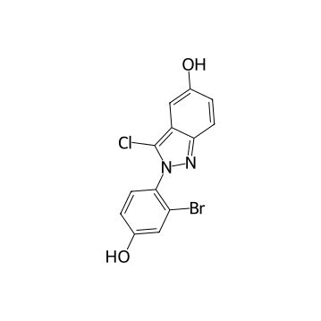 Oc1ccc(-n2nc3ccc(O)cc3c2Cl)c(Br)c1